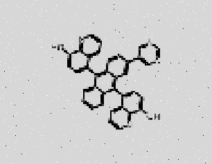 Oc1ccc(-c2c3ccccc3c(-c3ccc(O)c4ncccc34)c3cc(-c4cncnc4)ccc23)c2cccnc12